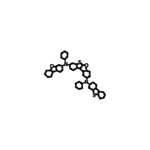 c1ccc(N(c2ccc3c(c2)oc2ccccc23)c2ccc3c(c2)sc2oc4ccc(N(c5ccccc5)c5ccc6c(c5)sc5ccccc56)cc4c23)cc1